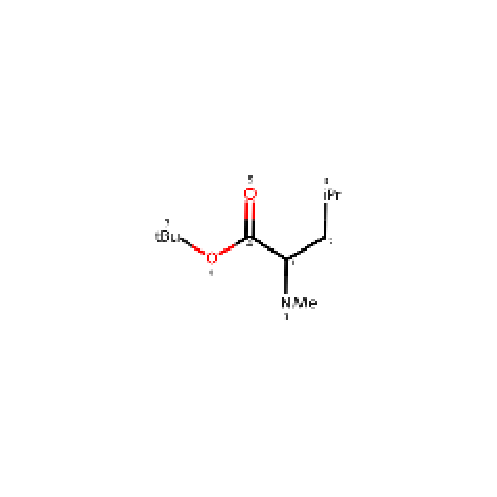 CNC(CC(C)C)C(=O)OC(C)(C)C